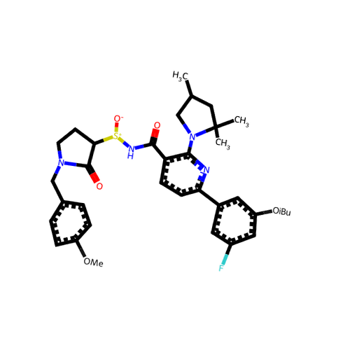 COc1ccc(CN2CCC([S+]([O-])NC(=O)c3ccc(-c4cc(F)cc(OCC(C)C)c4)nc3N3CC(C)CC3(C)C)C2=O)cc1